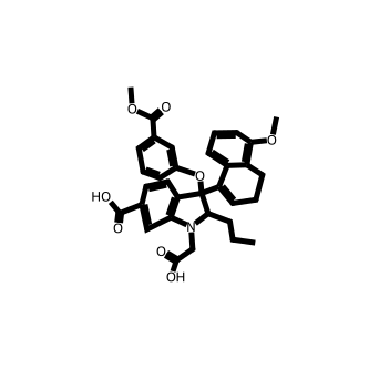 CCCC1N(CC(=O)O)c2cc(C(=O)O)ccc2C1(Oc1cccc(C(=O)OC)c1)C1=CCCc2c(OC)cccc21